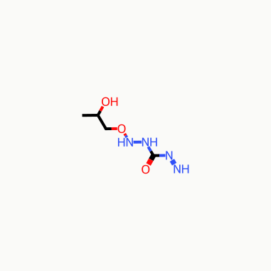 CC(O)CONNC(=O)N=N